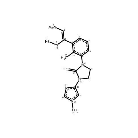 CN/C=C(\NS)c1cccc(N2CCN(c3cn(C)cn3)C2=O)c1C